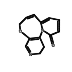 O=c1cccc2n1C1=C(C=NCC1)OCC=C2